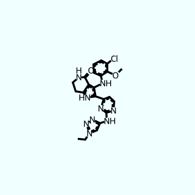 CCn1cc(Nc2nccc(-c3[nH]c4c(c3Nc3cccc(Cl)c3OC)C(=O)NCC4)n2)nn1